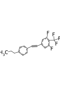 CCCc1ccc(C#Cc2cc(F)c(C(F)(F)F)c(F)c2)cc1